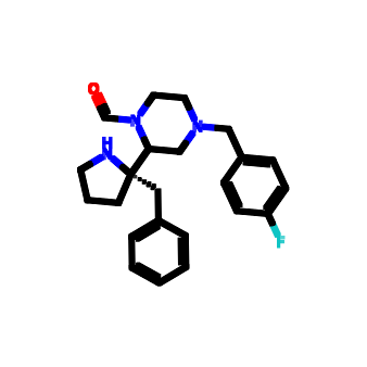 O=CN1CCN(Cc2ccc(F)cc2)CC1[C@@]1(Cc2ccccc2)CCCN1